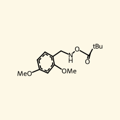 COc1ccc(CNOC(=O)C(C)(C)C)c(OC)c1